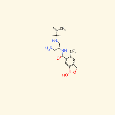 C=C(C(F)(F)F)C(C)(C)NCC(CN)NC(=O)c1cc2c(cc1C(F)(F)F)COB2O